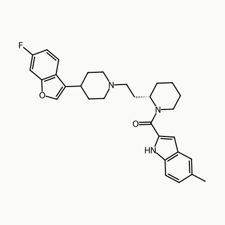 Cc1ccc2[nH]c(C(=O)N3CCCC[C@H]3CCN3CCC(c4coc5cc(F)ccc45)CC3)cc2c1